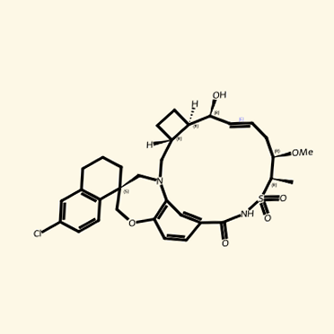 CO[C@@H]1C/C=C/[C@H](O)[C@@H]2CC[C@H]2CN2C[C@@]3(CCCc4cc(Cl)ccc43)COc3ccc(cc32)C(=O)NS(=O)(=O)[C@@H]1C